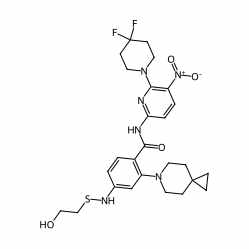 O=C(Nc1ccc([N+](=O)[O-])c(N2CCC(F)(F)CC2)n1)c1ccc(NSCCO)cc1N1CCC2(CC1)CC2